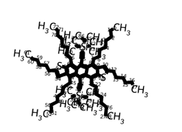 CCCCCCCCc1c2cc(CCCCCC)sc2c(CCCCCCCC)c2c(C#C[Si](C(C)C)(C(C)C)C(C)C)c3c(CCCCCCCC)c4cc(CCCCCC)sc4c(CCCCCCCC)c3c(C#C[Si](C(C)C)(C(C)C)C(C)C)c12